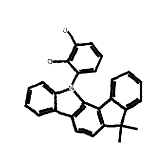 CC1(C)c2ccccc2-c2c1ccc1c3ccccc3n(-c3cccc(Cl)c3Cl)c21